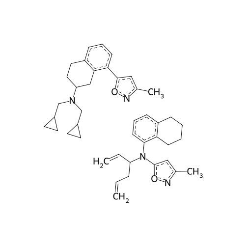 C=CCC(C=C)N(c1cc(C)no1)c1cccc2c1CCCC2.Cc1cc(-c2cccc3c2CC(N(CC2CC2)CC2CC2)CC3)on1